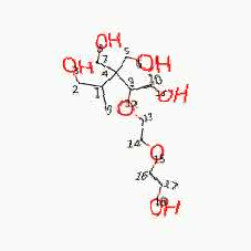 CC(CO)C(CO)(CO)C(CO)OCCOCCO